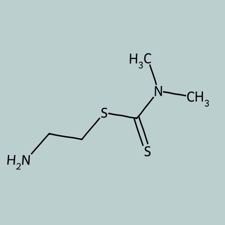 CN(C)C(=S)SCCN